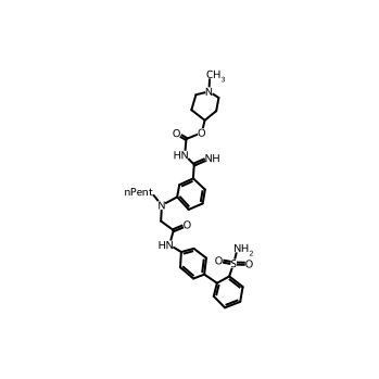 CCCCCN(CC(=O)Nc1ccc(-c2ccccc2S(N)(=O)=O)cc1)c1cccc(C(=N)NC(=O)OC2CCN(C)CC2)c1